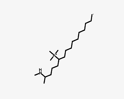 [CH2]CCCCCCCCCC(CCCC(C)NC)[N+](C)(C)C